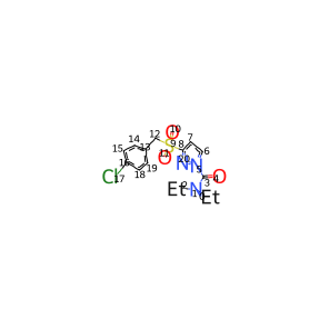 CCN(CC)C(=O)n1ccc(S(=O)(=O)Cc2ccc(Cl)cc2)n1